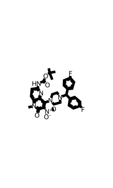 Cn1c(=O)c([N+](=O)[O-])c(N2CCN(C(c3ccc(F)cc3)c3ccc(F)cc3)CC2)c2nc(NC(=O)OC(C)(C)C)ccc21